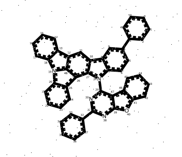 c1ccc(-c2ccc3c(c2)c2cc4c5ccccc5n5c6ccccc6c(c2n3-c2nc(-c3ccccc3)nc3oc6ccccc6c23)c45)cc1